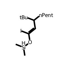 CCCCCC(C=C(I)O[SiH](C)C)C(C)(C)C